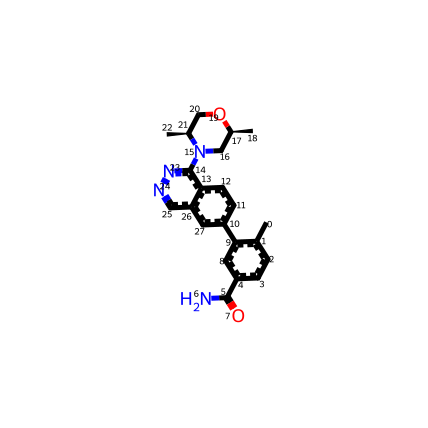 Cc1ccc(C(N)=O)cc1-c1ccc2c(N3C[C@H](C)OC[C@@H]3C)nncc2c1